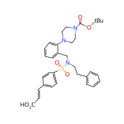 CC(C)(C)OC(=O)N1CCN(c2ccccc2CN(CCc2ccccc2)S(=O)(=O)c2ccc(/C=C/C(=O)O)cc2)CC1